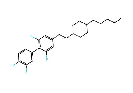 CCCCCC1CCC(CCc2cc(F)c(-c3ccc(F)c(F)c3)c(F)c2)CC1